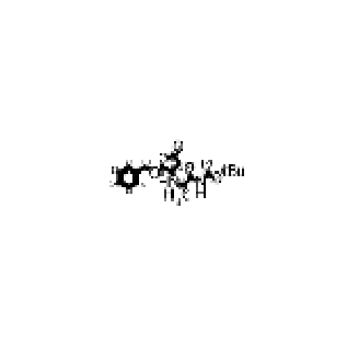 C[C@H](NC1CC(=O)OC1OCc1ccccc1)C(=O)NC(=O)OC(C)(C)C